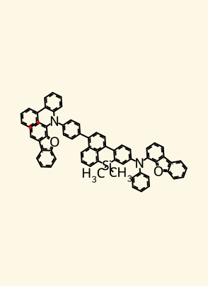 C[Si]1(C)c2cc(N(c3ccccc3)c3cccc4c3oc3ccccc34)ccc2-c2ccc(-c3ccc(N(c4ccccc4-c4ccccc4)c4cccc5c4oc4ccccc45)cc3)c3cccc1c23